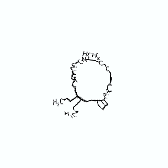 CCCC1CCCCCCCCN[C@H](C)CCCCCCCCCC2CC3CCC(CCC1CCC)C23